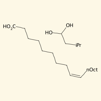 CC(C)CC(O)O.CCCCCCCC/C=C\CCCCCCCC(=O)O